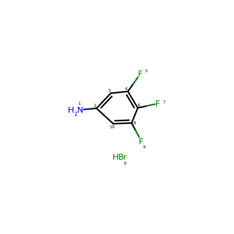 Br.Nc1cc(F)c(F)c(F)c1